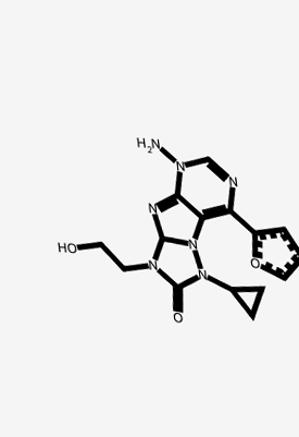 NN1C=NC(c2ccco2)=C2C1=NC1N(CCO)C(=O)N(C3CC3)N21